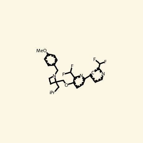 COc1ccc(CN2CCC2(COc2ccc(-c3ccnc(C(F)F)c3)nc2C(F)F)CC(C)C)cc1